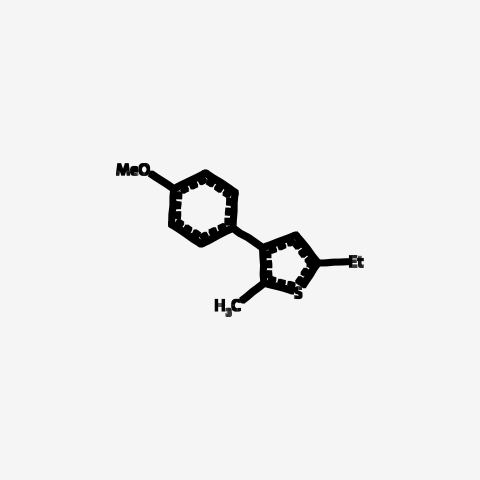 CCc1cc(-c2ccc(OC)cc2)c(C)s1